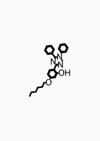 CCCCCCOc1ccc(C2=NCN(c3ccccc3)C(c3ccccc3)=N2)c(O)c1